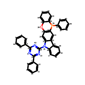 c1ccc(-c2nc(-c3ccccc3)nc(-n3c4ccccc4c4cc5c(cc43)Oc3ccccc3P5c3ccccc3)n2)cc1